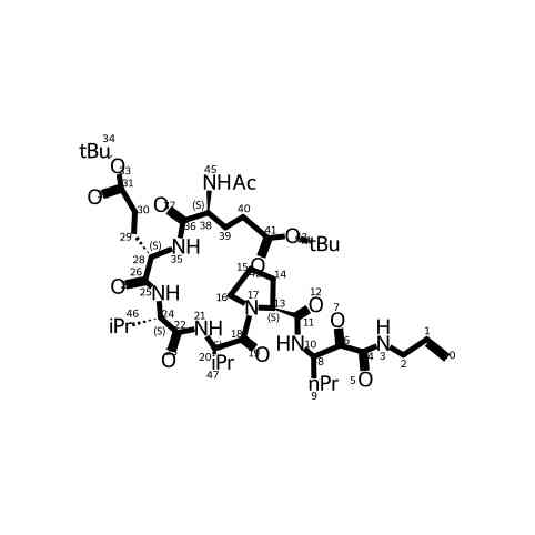 C=CCNC(=O)C(=O)C(CCC)NC(=O)[C@@H]1CCCN1C(=O)[C@@H](NC(=O)[C@@H](NC(=O)[C@H](CCC(=O)OC(C)(C)C)NC(=O)[C@H](CCC(=O)OC(C)(C)C)NC(C)=O)C(C)C)C(C)C